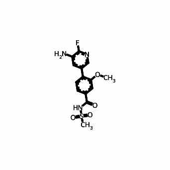 COc1cc(C(=O)NS(C)(=O)=O)ccc1-c1cnc(F)c(N)c1